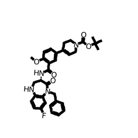 COc1ccc(C2=CCN(C(=O)OC(C)(C)C)CC2)cc1C(=O)N[C@H]1CNc2ccc(F)cc2N(Cc2ccccc2)C1=O